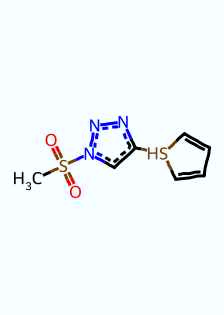 CS(=O)(=O)n1cc([SH]2C=CC=C2)nn1